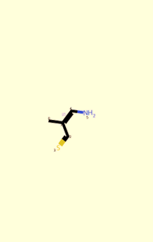 C/C(C=S)=C/N